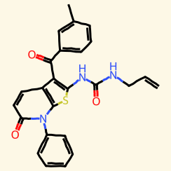 C=CCNC(=O)Nc1sc2c(ccc(=O)n2-c2ccccc2)c1C(=O)c1cccc(C)c1